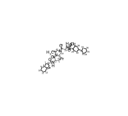 CC(C)CC(NC(=O)c1cc2ccccc2s1)C(=O)N1CCN(C(=O)CNS(=O)(=O)c2ccc(-c3ccccc3)cc2Cl)CC1C